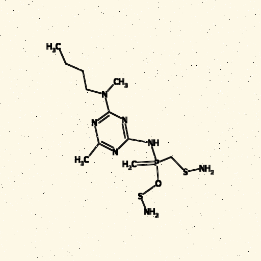 C=P(CSN)(Nc1nc(C)nc(N(C)CCCC)n1)OSN